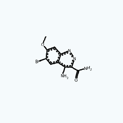 COc1cc2nnc(C(N)=O)c(N)c2cc1Br